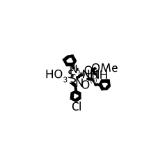 COC(=O)N[C@@H](Cc1ccccc1)C(=O)N[C@@H](CN(c1ccccc1)S(=O)(=O)O)c1nc(-c2ccc(Cl)cc2)cs1